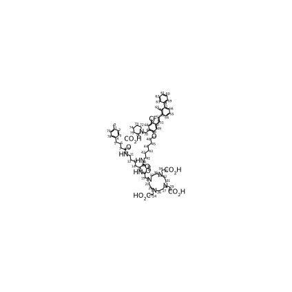 Cc1ccc(CCCC(=O)NCCCC[C@H](NC(=O)CN2CCN(CC(=O)O)CCN(CC(=O)O)CCN(CC(=O)O)CC2)C(=O)NCCCCCCOc2cc(/C=C/c3cccc(-c4ccccc4)c3C)c(C(F)(F)F)cc2CN2CCCC[C@H]2C(=O)O)cc1